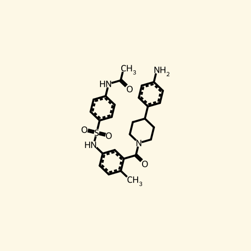 CC(=O)Nc1ccc(S(=O)(=O)Nc2ccc(C)c(C(=O)N3CCC(c4ccc(N)cc4)CC3)c2)cc1